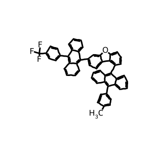 Cc1ccc(-c2c3ccccc3c(-c3cccc4oc5cc(-c6c7ccccc7c(-c7ccc(C(F)(F)F)cc7)c7ccccc67)ccc5c34)c3ccccc23)cc1